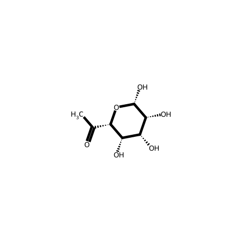 CC(=O)[C@@H]1O[C@H](O)[C@H](O)[C@H](O)[C@@H]1O